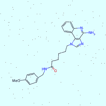 COc1ccc(CNC(=O)CCCCCn2cnc3c(N)nc4ccccc4c32)cc1